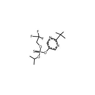 CC(C)OP(=S)(OCC(F)(F)F)Oc1cnc(C(C)(C)C)nc1